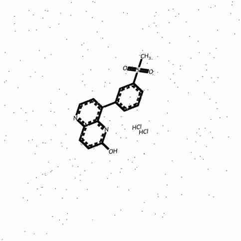 CS(=O)(=O)c1cccc(-c2ccnc3ccc(O)nc23)c1.Cl.Cl